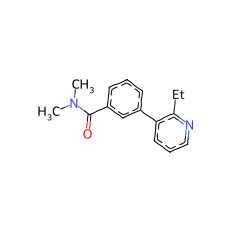 CCc1ncccc1-c1cccc(C(=O)N(C)C)c1